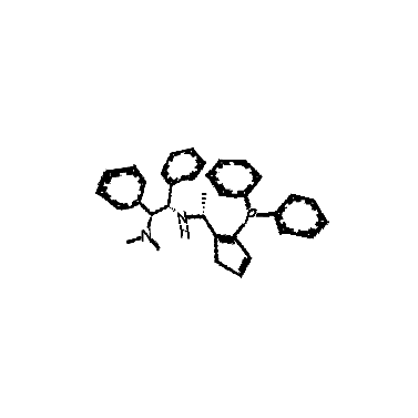 C[C@@H](N[C@@H](c1ccccc1)[C@H](c1ccccc1)N(C)C)C1=C(P(c2ccccc2)c2ccccc2)C=CC1